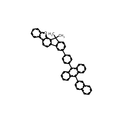 CC1(C)c2ccc(-c3ccc(-c4c5ccccc5c(-c5ccc6ccccc6c5)c5ccccc45)cc3)cc2-c2ccc3c(oc4ccccc43)c21